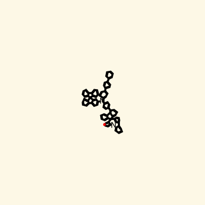 c1ccc(-c2ccc(-c3ccc(N(c4ccc(-c5cccc6c5-c5ccccc5C65c6ccccc6-n6c7ccccc7c7cccc5c76)cc4)c4ccc5c(c4)C4(c6ccccc6-c6ccccc64)c4ccccc4-5)cc3)cc2)cc1